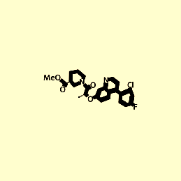 COC(=O)[C@@H]1CCCN(C(=O)[C@@H](C)Oc2ccc3c(-c4ccc(F)cc4Cl)ccnc3c2)C1